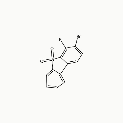 O=S1(=O)c2ccccc2-c2ccc(Br)c(F)c21